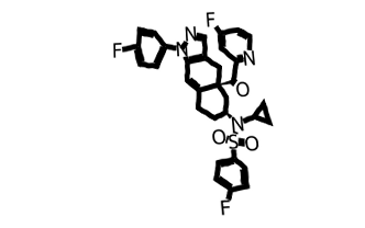 O=C(c1cc(F)ccn1)[C@]12Cc3cnn(-c4ccc(F)cc4)c3C=C1CC[C@H](N(C1CC1)S(=O)(=O)c1ccc(F)cc1)C2